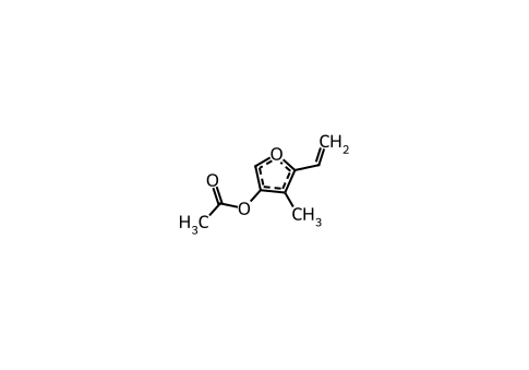 C=Cc1occ(OC(C)=O)c1C